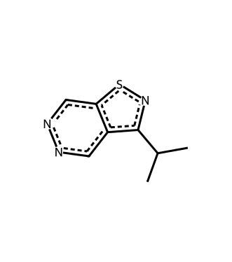 CC(C)c1nsc2cnncc12